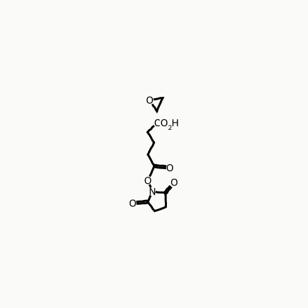 C1CO1.O=C(O)CCCC(=O)ON1C(=O)CCC1=O